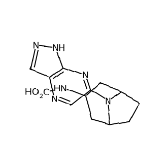 O=C(O)NC1CC2CCC(C1)N2c1cnc2cn[nH]c2n1